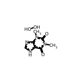 Cn1c(=O)c2[nH]cnc2n(C)c1=O.OO